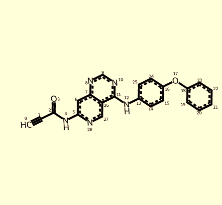 C#CC(=O)Nc1cc2ncnc(Nc3ccc(Oc4ccccc4)cc3)c2cn1